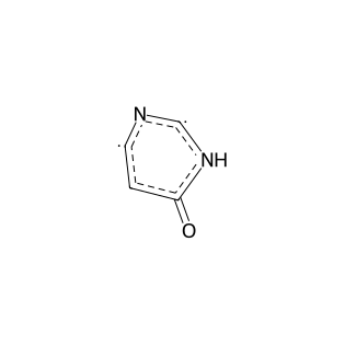 O=c1c[c]n[c][nH]1